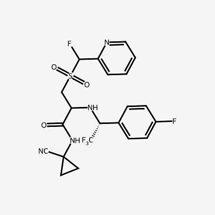 N#CC1(NC(=O)C(CS(=O)(=O)C(F)c2ccccn2)N[C@H](c2ccc(F)cc2)C(F)(F)F)CC1